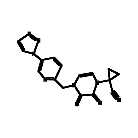 N#CC1(n2ccn(Cc3ccc(-n4ccnn4)cn3)c(=O)c2=O)CC1